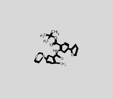 Cc1ccc(N2CCOCC2)cc1C(=O)Nc1cc(-c2ccco2)ccc1C(=O)OC(C)(C)C